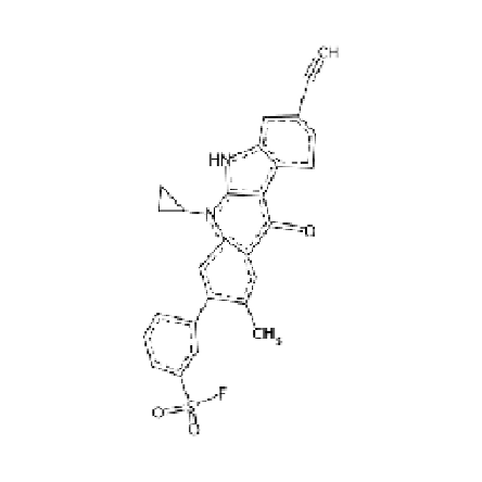 C#Cc1ccc2c(c1)[nH]c1c2c(=O)c2cc(C)c(-c3cccc(S(=O)(=O)F)c3)cc2n1C1CC1